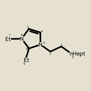 CCCCCCCCCN1C=CN(CC)C1CC